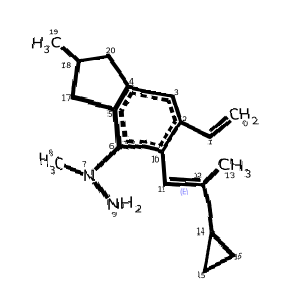 C=Cc1cc2c(c(N(C)N)c1/C=C(\C)C1CC1)CC(C)C2